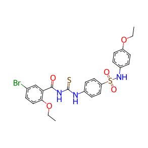 CCOc1ccc(NS(=O)(=O)c2ccc(NC(=S)NC(=O)c3cc(Br)ccc3OCC)cc2)cc1